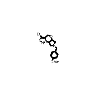 CCc1nnn2c1COC1CN(Cc3ccc(OC)cc3)CC12